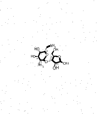 NC[C@@H]1OC(O[C@@H]2[C@@H](CO)OC(O)[C@@H]2O)[C@H](N)[C@@H](O)[C@@H]1O